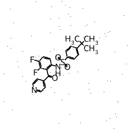 CC(C)(C)c1ccc(S(=O)(=O)Nc2ccc(F)c(F)c2C(=O)c2ccncc2)cc1